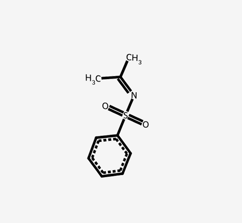 CC(C)=NS(=O)(=O)c1ccccc1